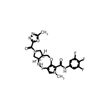 Cc1nnc(C(=O)N2C[C@H]3COc4c(cn(C)c4C(=O)Nc4cc(F)c(F)c(F)c4)SN[C@H]3C2)o1